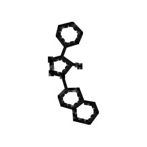 [2H]c1c(-c2ccccc2)nnn1-c1ccc2ccccc2c1